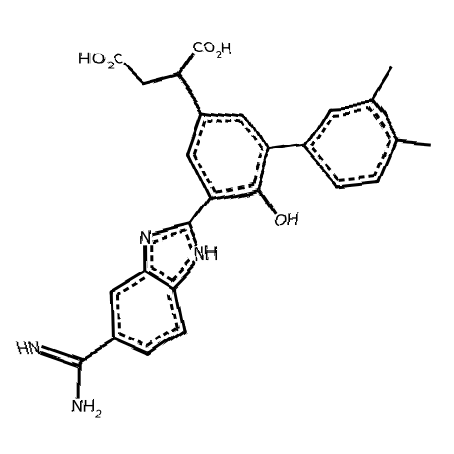 Cc1ccc(-c2cc(C(CC(=O)O)C(=O)O)cc(-c3nc4cc(C(=N)N)ccc4[nH]3)c2O)cc1C